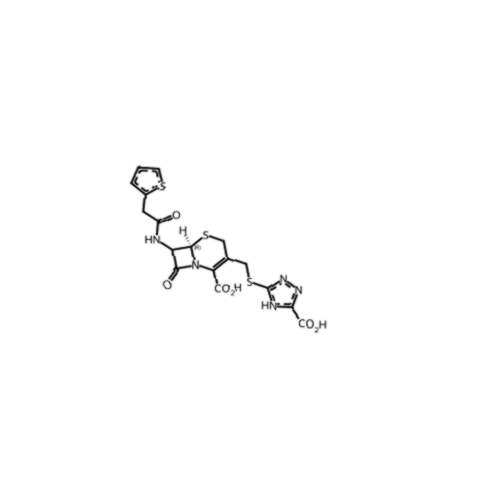 O=C(Cc1cccs1)NC1C(=O)N2C(C(=O)O)=C(CSc3nnc(C(=O)O)[nH]3)CS[C@H]12